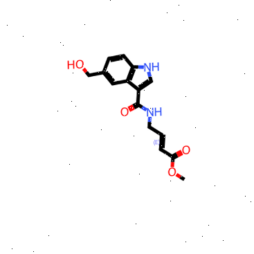 COC(=O)/C=C/CNC(=O)c1c[nH]c2ccc(CO)cc12